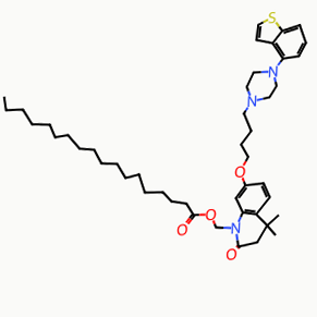 CCCCCCCCCCCCCCCCCC(=O)OCN1C(=O)CC(C)(C)c2ccc(OCCCCN3CCN(c4cccc5sccc45)CC3)cc21